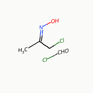 CC(CCl)=NO.O=CCl